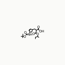 CCC(C)OC(=O)C(CC1C=CC(NC(=O)OC(C)(C)C)C1)C(=O)O